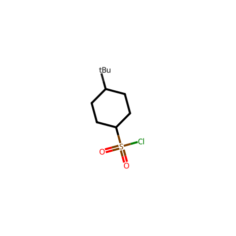 CC(C)(C)C1CCC(S(=O)(=O)Cl)CC1